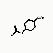 CCC(C)C(=O)OC1CCC(OC)CC1